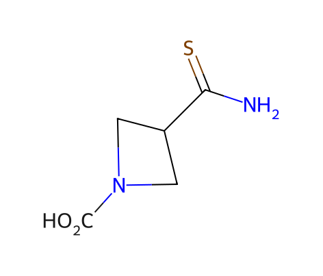 NC(=S)C1CN(C(=O)O)C1